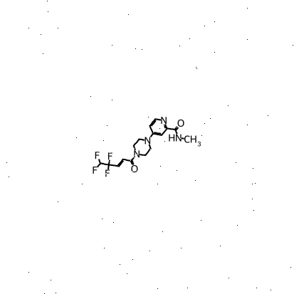 CNC(=O)c1cc(N2CCN(C(=O)/C=C/C(F)(F)C(F)F)CC2)ccn1